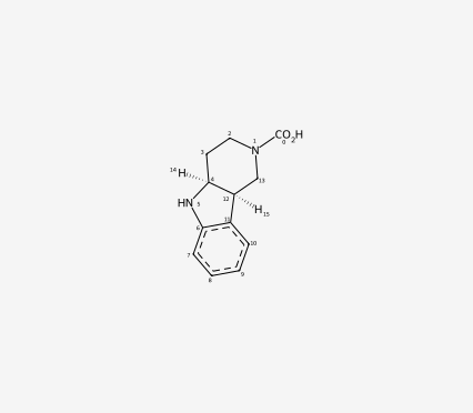 O=C(O)N1CC[C@@H]2Nc3ccccc3[C@@H]2C1